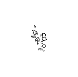 N#Cc1cnc(Nc2cc(-c3c(O[C@@H]4CCC[C@H]4CN)cnc4cccnc34)[nH]n2)cn1